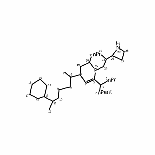 CCCCCC(CCC)C1=CC(C(C)CCCC(C)C2CCCCC2)CC(C)P1CC(CCC)C1CCN1